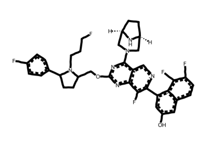 Oc1cc(-c2ncc3c(N4C[C@H]5CC[C@@H](C4)N5)nc(OCC4CCC(c5ccc(F)cc5)N4CCCF)nc3c2F)c2c(F)c(F)ccc2c1